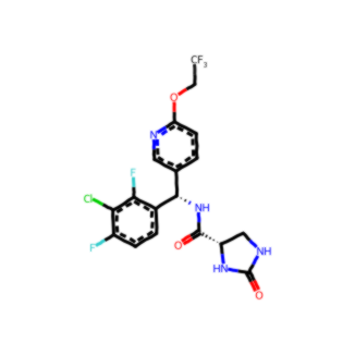 O=C1NC[C@@H](C(=O)N[C@@H](c2ccc(OCC(F)(F)F)nc2)c2ccc(F)c(Cl)c2F)N1